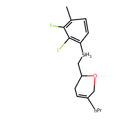 CCCC1=CCC(C[SiH2]c2ccc(C)c(F)c2F)OC1